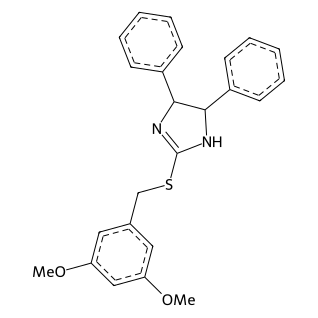 COc1cc(CSC2=NC(c3ccccc3)C(c3ccccc3)N2)cc(OC)c1